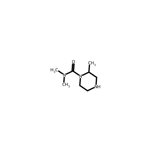 CC1CNCCN1C(=O)N(C)C